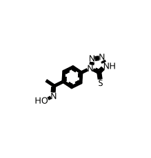 CC(=NO)c1ccc(-n2nn[nH]c2=S)cc1